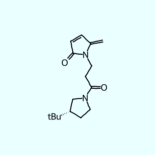 C=C1C=CC(=O)N1CCC(=O)N1CC[C@H](C(C)(C)C)C1